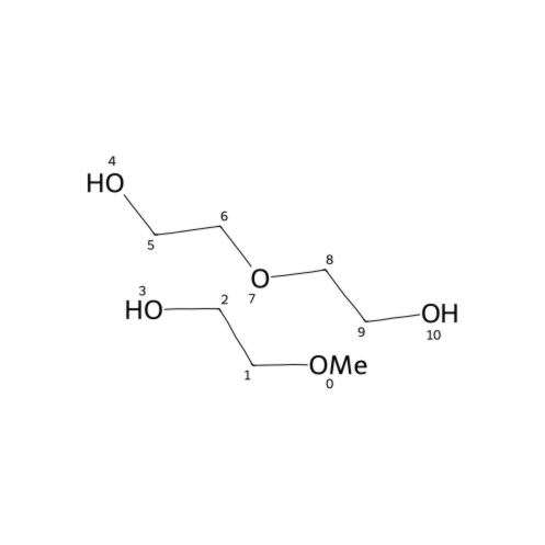 COCCO.OCCOCCO